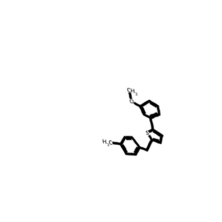 COc1cccc(-c2ccc(Cc3ccc(C)cc3)s2)c1